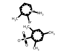 Cc1cc(C)c(S(=O)(=O)[O-])c(C)c1.Cc1ccc[n+](N)c1Br